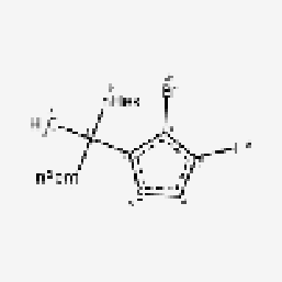 CCCCCCC(C)(CCCCC)c1scc(I)c1Br